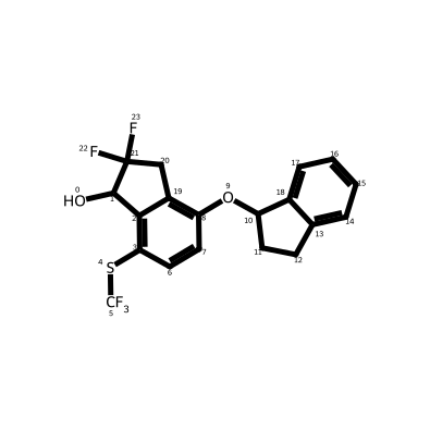 OC1c2c(SC(F)(F)F)ccc(OC3CCc4ccccc43)c2CC1(F)F